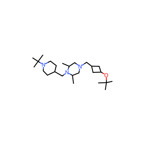 CC1CN(CC2CC(OC(C)(C)C)C2)CC(C)N1CC1CCN(C(C)(C)C)CC1